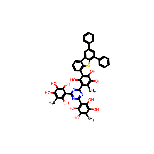 Bc1c(O)c(O)c(-c2nc(-c3c(B)c(O)c(O)c(-c4cccc5c4sc4c(-c6ccccc6)cc(-c6ccccc6)cc45)c3O)nc(-c3c(O)c(B)c(O)c(O)c3O)n2)c(O)c1O